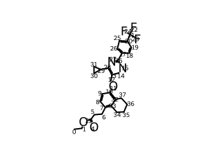 CCOC(=O)CCc1ccc(OCc2cnc(-c3ccc(C(F)(F)F)cc3)nc2C2CC2)c2c1CCCC2